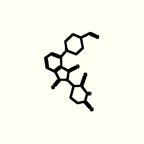 O=CC1CCN(c2cccc3c2C(=O)N(C2CCC(=O)NC2=O)C3=O)CC1